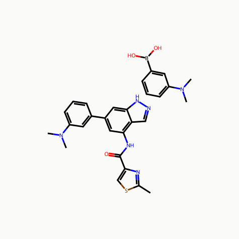 CN(C)c1cccc(B(O)O)c1.Cc1nc(C(=O)Nc2cc(-c3cccc(N(C)C)c3)cc3[nH]ncc23)cs1